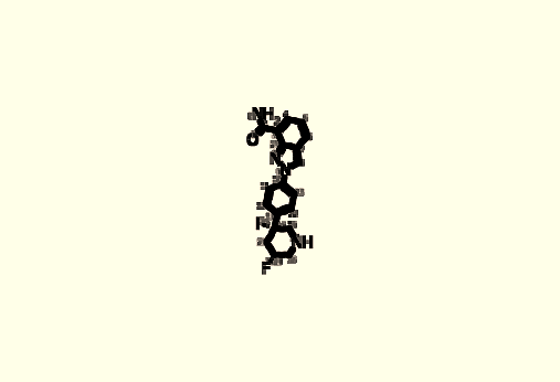 NC(=O)c1cccc2cn(-c3ccc([C@@]4(F)CNC[C@H](F)C4)cc3)nc12